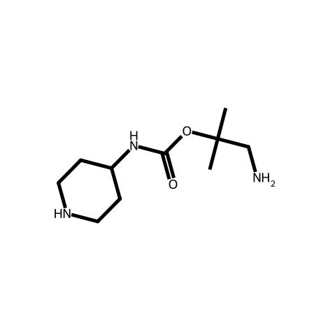 CC(C)(CN)OC(=O)NC1CCNCC1